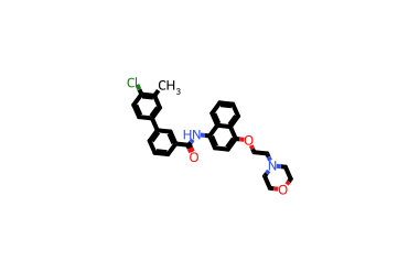 Cc1cc(-c2cccc(C(=O)Nc3ccc(OCCN4CCOCC4)c4ccccc34)c2)ccc1Cl